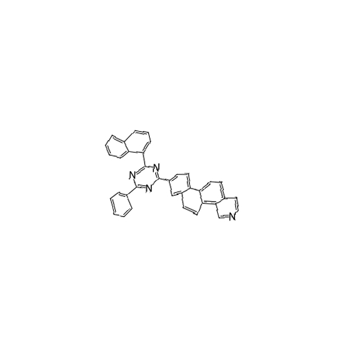 c1ccc(-c2nc(-c3ccc4c(ccc5c6cnccc6ccc45)c3)nc(-c3cccc4ccccc34)n2)cc1